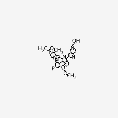 C=CC(=O)N1CCn2nc(-c3nc(-c4cnc5c(c4)CN(CCO)CC5)c4ccsc4c3-c3c(F)cc(F)cc3OCCOC)cc2C1C